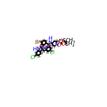 CC(C)(C)OC(=O)ON1CCC(NC(=O)c2ccc(Br)cc2NC2(Cc3cccc(Cl)c3)C(=O)Nc3cc(Cl)ccc32)CC1